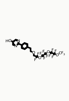 Oc1cnc(-c2ccc(CCOCC(F)(F)OC(F)(F)C(F)(F)OC(F)(F)C(F)(F)OC(F)(F)F)cc2)nc1